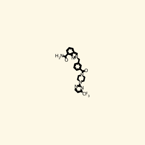 NC(=O)c1cccc2cn(Cc3cccc(C(=O)N4CCN(c5nccc(C(F)(F)F)n5)CC4)c3)nc12